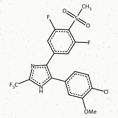 COc1cc(-c2[nH]c(C(F)(F)F)nc2-c2cc(F)c(S(C)(=O)=O)c(F)c2)ccc1Cl